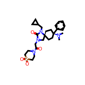 CN(C)[C@]1(c2ccccc2)CC[C@@]2(CC1)CN(CC(=O)N1CCS(=O)(=O)CC1)C(=O)N2CC1CC1